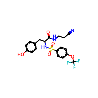 N#CCCNC(=O)C(Cc1ccc(O)cc1)NS(=O)(=O)c1ccc(OC(F)(F)F)cc1